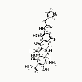 NC(=O)C1=C(O)[C@@H](N)[C@@H]2C[C@@H]3Cc4c(F)cc(NC(=O)Cn5ccnc5)c(O)c4C(=O)C3=C(O)[C@]2(O)C1=O